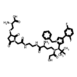 CC(C)(I)[C@H](c1cc(-c2cc(F)ccc2F)cn1Cc1ccccc1)N(CC[C@H](N)C(=O)NCCNC(=O)CN1C(=O)CC(SC[C@H](N)C(=O)O)C1=O)C(=O)CO